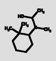 CC(O)N(C)C1CCCCC1(C)C